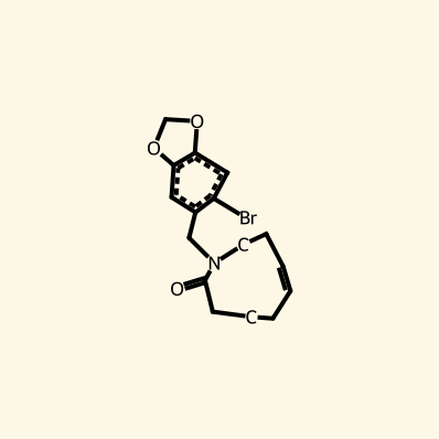 O=C1CCC/C=C\CCN1Cc1cc2c(cc1Br)OCO2